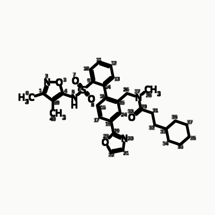 Cc1noc(NS(=O)(=O)c2ccccc2-c2ccc(-c3ncco3)cc2CN(C)C(=O)CCC2CCCCC2)c1C